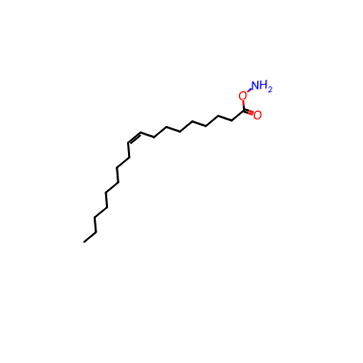 CCCCCCCC/C=C\CCCCCCCC(=O)ON